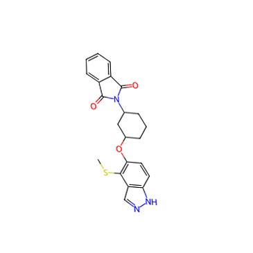 CSc1c(OC2CCCC(N3C(=O)c4ccccc4C3=O)C2)ccc2[nH]ncc12